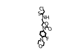 O=C1OC(CNC(=S)CCl)CN1c1ccc(N2CCOCC2)c(F)c1